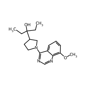 CCC(O)(CC)C1CCN(c2ncnc3c(OC)cccc23)C1